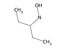 CCC(CC)[N]O